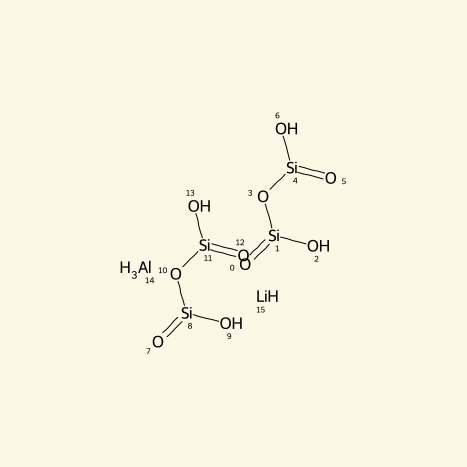 O=[Si](O)O[Si](=O)O.O=[Si](O)O[Si](=O)O.[AlH3].[LiH]